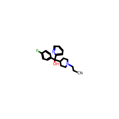 N#CCCN1CCC(C(O)(c2ccc(F)cc2)c2ccccn2)CC1